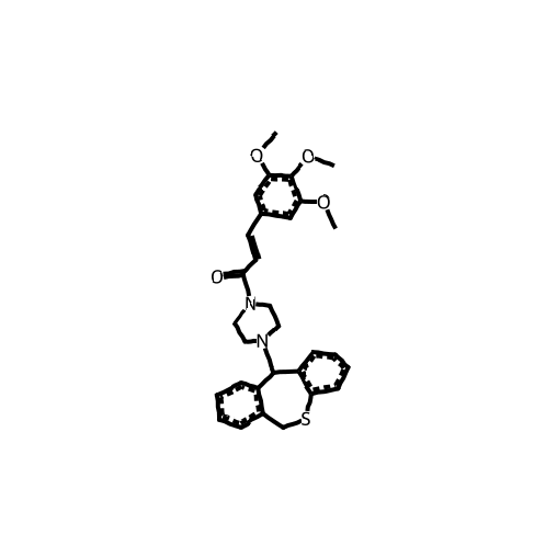 COc1cc(C=CC(=O)N2CCN(C3c4ccccc4CSc4ccccc43)CC2)cc(OC)c1OC